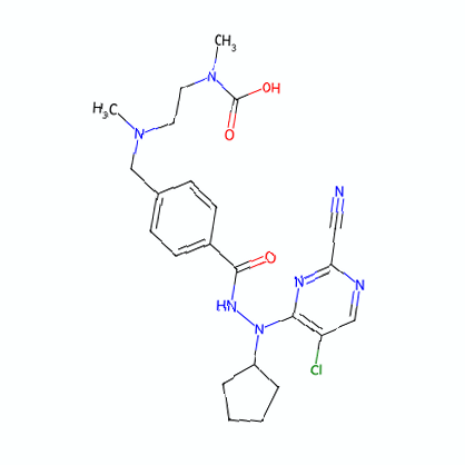 CN(CCN(C)C(=O)O)Cc1ccc(C(=O)NN(c2nc(C#N)ncc2Cl)C2CCCC2)cc1